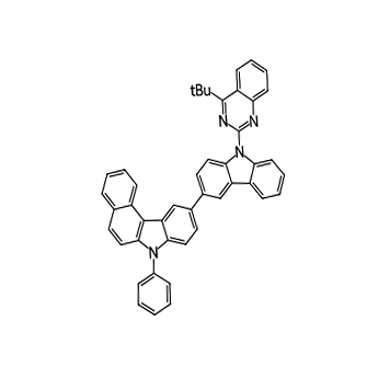 CC(C)(C)c1nc(-n2c3ccccc3c3cc(-c4ccc5c(c4)c4c6ccccc6ccc4n5-c4ccccc4)ccc32)nc2ccccc12